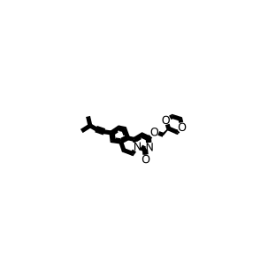 CC(C)C#Cc1ccc2c(c1)CCn1c-2cc(OC[C@@H]2COCCO2)nc1=O